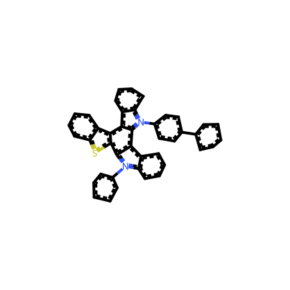 c1ccc(-c2ccc(-n3c4ccccc4c4c5c6ccccc6sc5c5c(c6ccccc6n5-c5ccccc5)c43)cc2)cc1